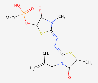 C=C(C)CN1C(=O)C(C)SC1=NN=C1SC(OP(=O)(O)OC)C(=O)N1C